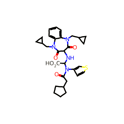 O=C(O)C(NC1C(=O)N(CC2CC2)c2ccccc2N(CC2CC2)C1=O)N(C(=O)CC1CCCC1)c1ccsc1